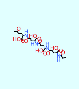 CCC(=O)N[C@@H](CCC(=O)N[C@@H](CCC(=O)N[C@@H](CCC(=O)N[C@@H](CCC(C)=O)C(=O)O)C(=O)O)C(=O)O)C(=O)O